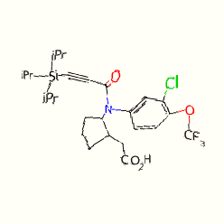 CC(C)[Si](C#CC(=O)N(c1ccc(OC(F)(F)F)c(Cl)c1)C1CCCC1CC(=O)O)(C(C)C)C(C)C